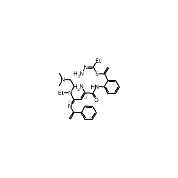 C=C(/N=C(\C=C(/N)C(=O)Nc1ccccc1C(=C)S/C(CC)=N\N)N(CC)CCN(C)C)c1ccccc1